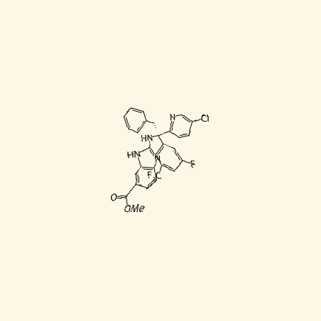 COC(=O)c1ccc2nc(N[C@](Cc3ccccc3)(c3cc(F)cc(C(F)(F)F)c3)c3ccc(Cl)cn3)[nH]c2c1